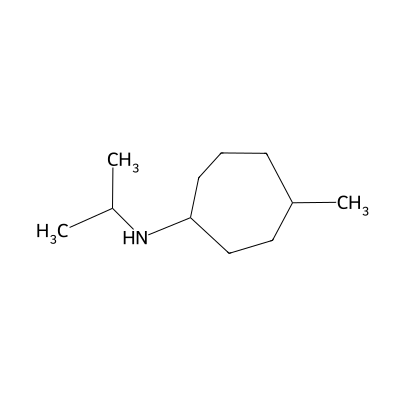 CC1CCCC(NC(C)C)CC1